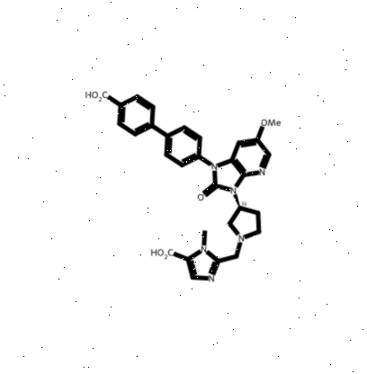 COc1cnc2c(c1)n(-c1ccc(-c3ccc(C(=O)O)cc3)cc1)c(=O)n2[C@H]1CCN(Cc2ncc(C(=O)O)n2C)C1